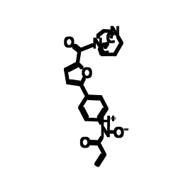 C=CC(=O)[NH+]([O-])c1ccc(-c2ccc(C(=O)N3CCN4CCC3CC4)o2)cc1